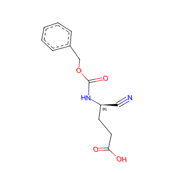 N#C[C@@H](CCC(=O)O)NC(=O)OCc1ccccc1